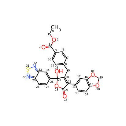 CCOC(=O)c1ccc(CC2=C(c3ccc4c(c3)OCO4)C(=O)OC2(O)c2ccc3nsnc3c2)cc1